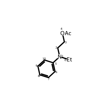 CCN(CCOC(C)=O)c1cc[c]cc1